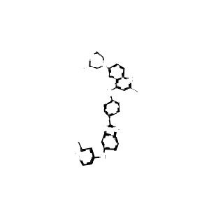 Cc1cc(Nc2ccc3[nH]c(-c4ccc(Nc5cc(C)nc6ccc(N7CCO[C@H](C)C7)cc56)cc4)nc3c2)ccn1